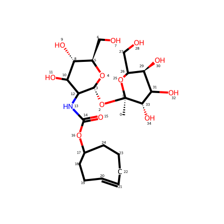 C[C@]1(O[C@H]2O[C@H](CO)[C@@H](O)C(O)C2NC(=O)OC2CC/C=C/CCC2)OC(CO)[C@@H](O)C(O)[C@@H]1O